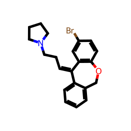 Brc1ccc2c(c1)/C(=C\CCN1CCCC1)c1ccccc1CO2